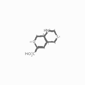 O=C(O)C1=CC2CSCNC2CO1